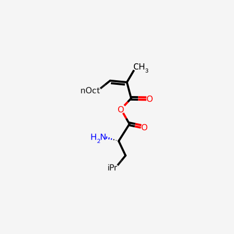 CCCCCCCCC=C(C)C(=O)OC(=O)[C@@H](N)CC(C)C